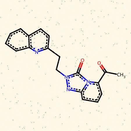 CC(=O)c1cccc2nn(CCc3ccc4ccccc4n3)c(=O)n12